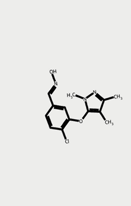 Cc1nn(C)c(Oc2cc(C=NO)ccc2Cl)c1C